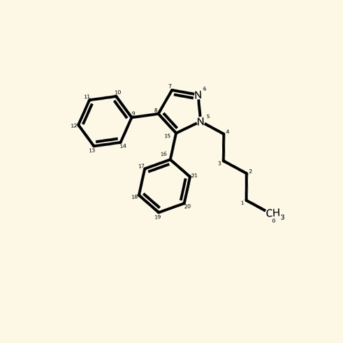 CCCCCn1ncc(-c2ccccc2)c1-c1ccccc1